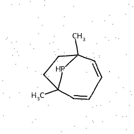 CC12C=CC=CC(C)(CC1)P2